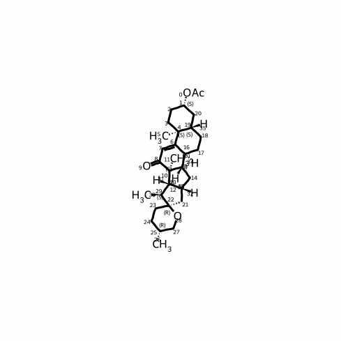 CC(=O)O[C@H]1CC[C@]2(C)C3=CC(=O)[C@]4(C)[C@@H]5[C@H](C[C@H]4[C@@H]3CC[C@H]2C1)C[C@]1(CC[C@@H](C)CO1)[C@H]5C